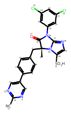 C[C@@]1(Cc2ccc(-c3cnc(C#N)nc3)cc2)C(=O)N(c2cc(Cl)cc(Cl)c2)c2ncc(S(=O)(=O)O)n21